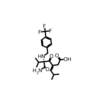 CC(C)C=C(CC(=O)O)C(=O)[C@@](NCc1ccc(C(F)(F)F)cc1)(C(N)=O)C(C)C